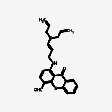 C=CCN(C=CCNc1ccc(C=O)c2sc3ccccc3c(=O)c12)CC=C